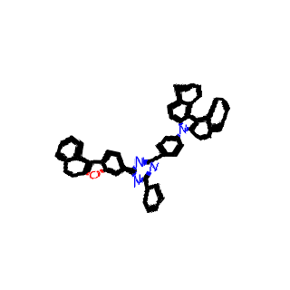 c1ccc(-c2nc(-c3ccc(-n4c5ccc6ccccc6c5c5c6ccccc6ccc54)cc3)nc(-c3ccc4c(c3)oc3ccc5ccccc5c34)n2)cc1